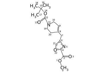 COC(=O)c1nc(CC2=CCN(C(=O)OC(C)(C)C)CC2)co1